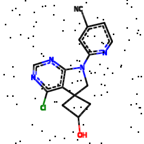 N#Cc1ccnc(N2CC3(CC(O)C3)c3c(Cl)ncnc32)c1